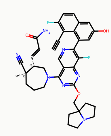 C#Cc1c(F)ccc2cc(O)cc(-c3ncc4c(N5CCC[C@@](C)(C#N)[C@H](C=CC(N)=O)C5)nc(OCC56CCCN5CCC6)nc4c3F)c12